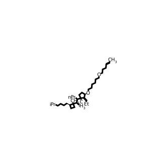 C/C=C/CCCOCCCCCCO[C@@H]1CCC(C)(C(CCC)C(I)C2(C)CC[C@H]2CCCCC(C)C)/C1=C\CC